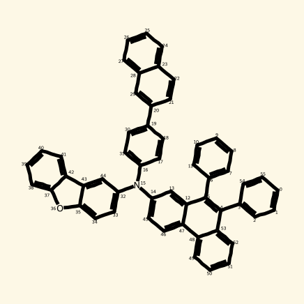 c1ccc(-c2c(-c3ccccc3)c3cc(N(c4ccc(-c5ccc6ccccc6c5)cc4)c4ccc5oc6ccccc6c5c4)ccc3c3ccccc23)cc1